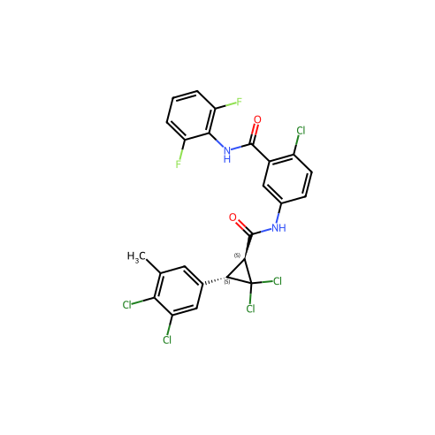 Cc1cc([C@@H]2[C@@H](C(=O)Nc3ccc(Cl)c(C(=O)Nc4c(F)cccc4F)c3)C2(Cl)Cl)cc(Cl)c1Cl